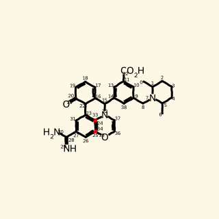 CC1CCCC(C)N1Cc1cc(C(=O)O)cc(C(C2=CC=CC(=O)C2c2cccc(C(=N)N)c2)N2C=COC=C2)c1